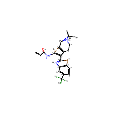 C=CC(=O)Nc1sc2c(c1-c1nc3cc(C(F)(F)F)ccc3s1)CCN(C(C)C)C2